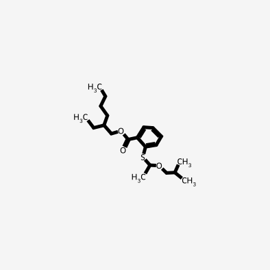 CCCCC(CC)COC(=O)c1ccccc1SC(C)OCC(C)C